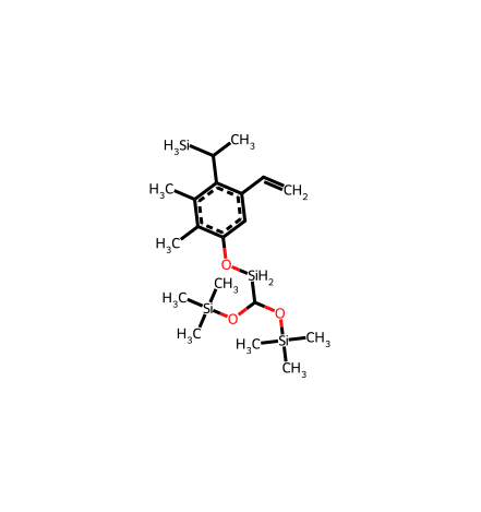 C=Cc1cc(O[SiH2]C(O[Si](C)(C)C)O[Si](C)(C)C)c(C)c(C)c1C(C)[SiH3]